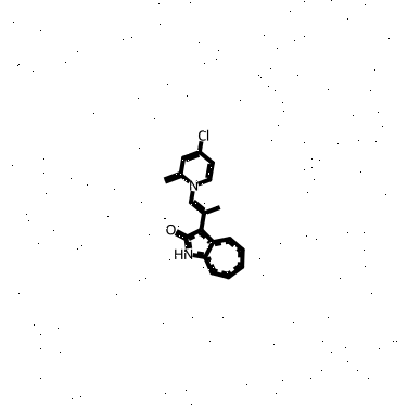 C=C1C=C(Cl)C=CN1/C=C(\C)c1c2cccccc-2[nH]c1=O